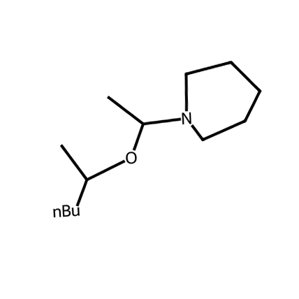 CCCCC(C)OC(C)N1CCCCC1